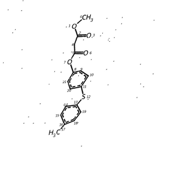 COC(=O)CC(=O)Oc1ccc(Sc2ccc(C)cc2)cc1